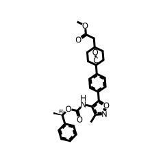 COC(=O)CC12CCC(c3ccc(-c4onc(C)c4NC(=O)O[C@H](C)c4ccccc4)cc3)(CC1)CO2